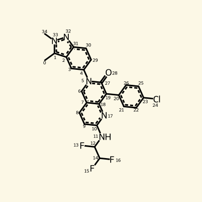 Cc1c2cc(-n3cc4ccc(NC(F)C(F)F)nc4c(-c4ccc(Cl)cc4)c3=O)ccc2nn1C